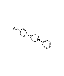 CC(=O)c1ccc(N2CCN(c3ccncc3)CC2)cc1